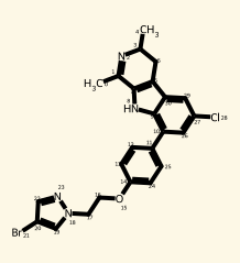 CC1=NC(C)Cc2c1[nH]c1c(-c3ccc(OCCn4cc(Br)cn4)cc3)cc(Cl)cc21